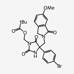 COc1ccc2c(c1)C(=O)N(CC1(c3ccc(Br)cc3)NC(=O)N(COC(=O)C(C)(C)C)C1=O)C2